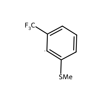 CSc1[c]c(C(F)(F)F)ccc1